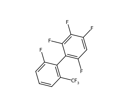 Fc1cc(F)c(-c2c(F)cccc2C(F)(F)F)c(F)c1F